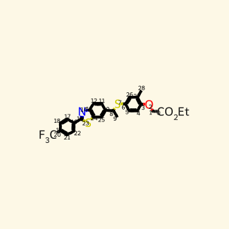 CCOC(=O)COc1ccc(SC(C)c2ccc3nc(-c4ccc(C(F)(F)F)cc4)sc3c2)cc1C